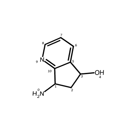 NC1CC(O)c2cccnc21